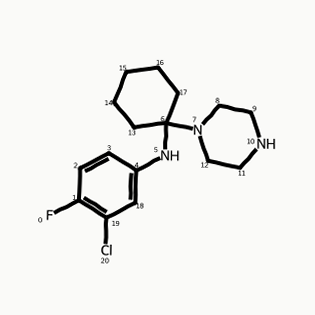 Fc1ccc(NC2(N3CCNCC3)C[CH]CCC2)cc1Cl